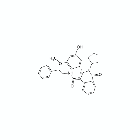 COc1cc(O)cc([C@H]2[C@H](C(=O)NCCc3ccccc3)c3ccccc3C(=O)N2C2CCCC2)c1